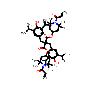 C=CC(=O)N1C(C)(C)CC(OC(=O)C(Cc2cc(C(C)C)c(O)c(C(C)C)c2)(Cc2cc(C(C)C)c(O)c(C(C)C)c2)C(=O)OC2CC(C)(C)N(C(=O)C=C)C(C)(C)C2)CC1(C)C